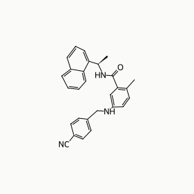 Cc1ccc(NCc2ccc(C#N)cc2)cc1C(=O)N[C@H](C)c1cccc2ccccc12